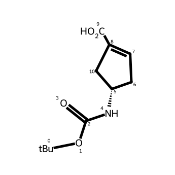 CC(C)(C)OC(=O)N[C@H]1CC=C(C(=O)O)C1